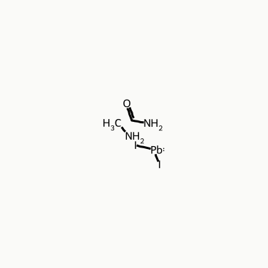 CN.NC=O.[I][Pb][I]